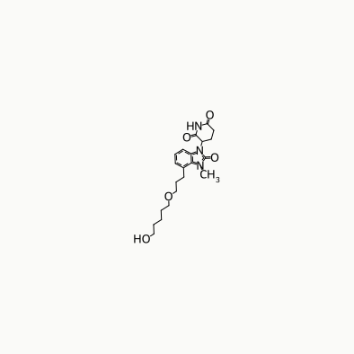 Cn1c(=O)n(C2CCC(=O)NC2=O)c2cccc(CCCOCCCCCO)c21